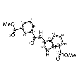 COC(=O)c1cccc(C(=O)Nc2c[nH]c3c(C(=O)OC)cccc23)c1